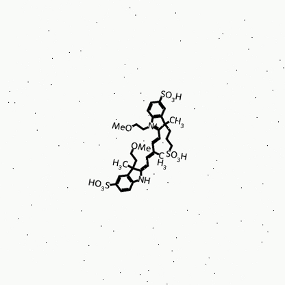 COCC[N+]1=C(/C=C/C(C)=C/C=C2/Nc3ccc(S(=O)(=O)O)cc3C2(C)CCOC)C(C)(CCCS(=O)(=O)O)c2cc(S(=O)(=O)O)ccc21